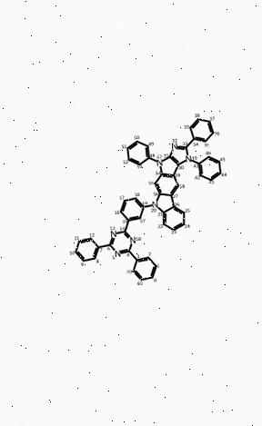 c1ccc(-c2nc(-c3ccccc3)nc(-c3cccc(-n4c5ccccc5c5cc6c7c(nc(-c8ccccc8)n7-c7ccccc7)n(-c7ccccc7)c6cc54)c3)n2)cc1